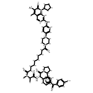 CC(=O)c1c(C)c2cnc(Nc3ccc(N4CCN(C(=O)CCCCCCCCC(=O)N(C)C(C)C(=O)N[C@H](C(=O)N5CCCC5c5nc(C(=O)c6ccc(F)cc6)cs5)C5CCCCC5)CC4)cn3)nc2n(C2CCCC2)c1=O